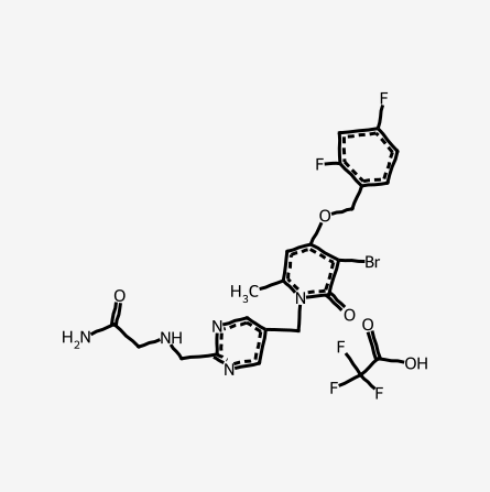 Cc1cc(OCc2ccc(F)cc2F)c(Br)c(=O)n1Cc1cnc(CNCC(N)=O)nc1.O=C(O)C(F)(F)F